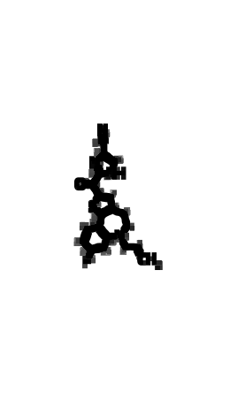 C=CCN1CCc2cc(C(=O)c3nc(C#N)c[nH]3)sc2-c2ccc(F)cc21